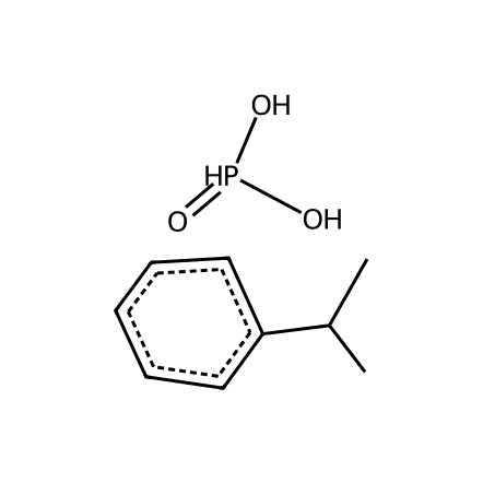 CC(C)c1ccccc1.O=[PH](O)O